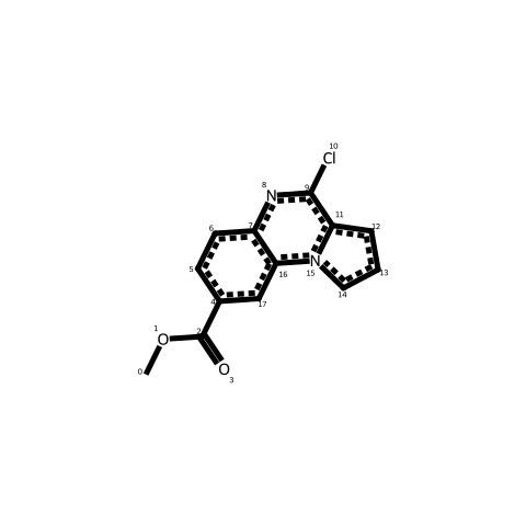 COC(=O)c1ccc2nc(Cl)c3cccn3c2c1